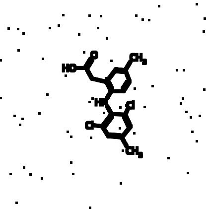 Cc1cc(Cl)c(Nc2ccc(C)cc2CC(=O)O)c(Cl)c1